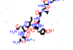 CC[C@H](C)[C@H](NC(=O)[C@H](Cc1ccc(O)cc1)NC(=O)CNCC(=O)N(CC(=O)N[C@@H](CO)C(=O)NCC(N)=O)C1CC1)C(=O)N[C@@H](CCC(N)=O)C(=O)N[C@@H](CC(N)=O)C(N)=O